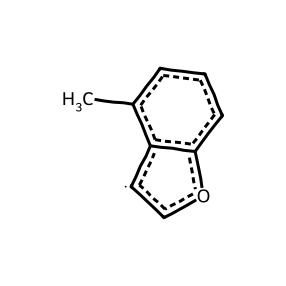 Cc1cccc2oc[c]c12